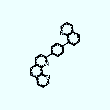 c1cnc2c(-c3ccc(-c4ccc5ccc6cccnc6c5n4)cc3)cccc2c1